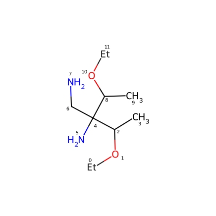 CCOC(C)C(N)(CN)C(C)OCC